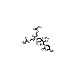 CO[C@](CN)(COP(=O)(OCOC(=O)C(C)(C)C)OCOC(=O)C(C)(C)C)[C@@H](O)[C@@H](F)n1ccc(N)nc1=O